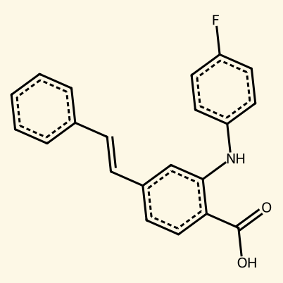 O=C(O)c1ccc(C=Cc2ccccc2)cc1Nc1ccc(F)cc1